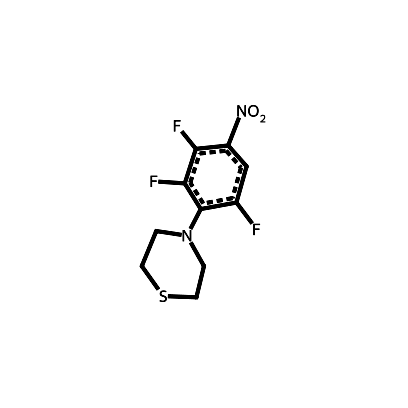 O=[N+]([O-])c1cc(F)c(N2CCSCC2)c(F)c1F